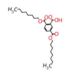 CCCCCCCCOC(=O)c1ccc(C(=O)OCCCCCCCC)c(C(=O)O)c1